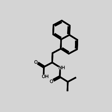 CC(C)C(=O)NC(Cc1cccc2ccccc12)C(=O)O